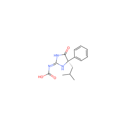 CC(C)C[C@]1(c2ccccc2)N/C(=N\C(=O)O)NC1=O